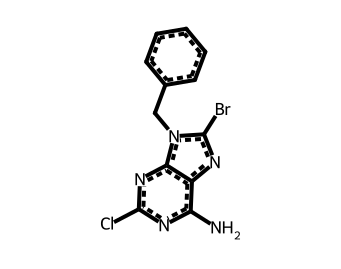 Nc1nc(Cl)nc2c1nc(Br)n2Cc1ccccc1